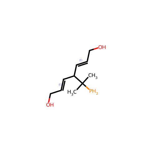 CC(C)(P)C(/C=C/CO)/C=C/CO